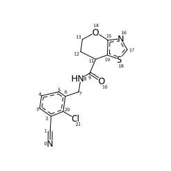 N#Cc1cccc(CNC(=O)C2CCOc3ncsc32)c1Cl